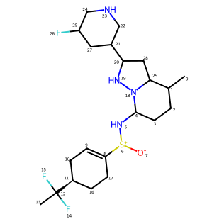 CC1CCC(N[S+]([O-])C2=CC[C@H](C(C)(F)F)CC2)N2NC(C3CNCC(F)C3)CC12